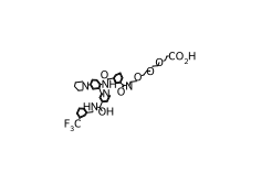 CN(CCOCCOCCOCCC(=O)O)C(=O)c1cccc(C(=O)Nc2ccc(N3CCCCC3)cc2-c2cc(C(O)NCc3cccc(C(F)(F)F)c3)ccn2)c1